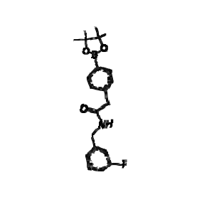 CC1(C)OB(c2ccc(CC(=O)NCc3cccc(F)c3)cc2)OC1(C)C